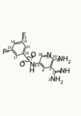 N=C(N)c1cc(NS(=O)(=O)c2cc(F)cc(F)c2)cnc1N